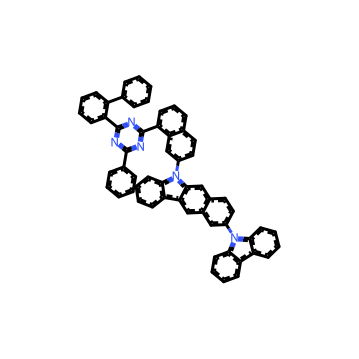 c1ccc(-c2nc(-c3ccccc3-c3ccccc3)nc(-c3cccc4ccc(-n5c6ccccc6c6cc7cc(-n8c9ccccc9c9ccccc98)ccc7cc65)cc34)n2)cc1